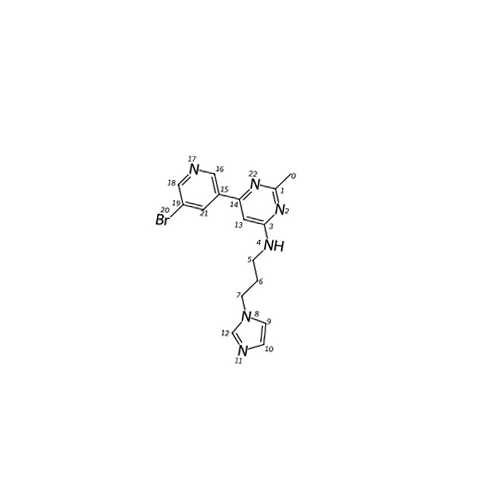 Cc1nc(NCCCn2ccnc2)cc(-c2cncc(Br)c2)n1